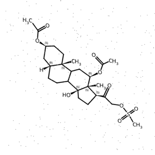 CC(=O)O[C@H]1CC[C@]2(C)C3C[C@@H](OC(C)=O)[C@]4(C)[C@@H](C(=O)COS(C)(=O)=O)CC[C@]4(O)C3CC[C@@H]2C1